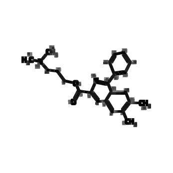 Cc1cc2cc(C(=O)OCCCN(C)C)nc(-c3ccccc3)c2cc1C